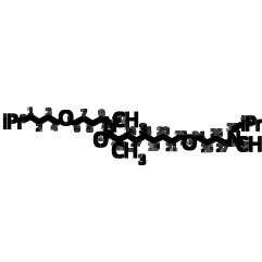 CC(C)CCCCOCCCCN(C)C(=O)C(C)CCCCCCCOCCCCN(C)CC(C)C